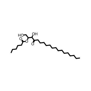 CCCCCCCCCCCCCCCC(=O)C(O)C(CO)OC(=O)CCCCC